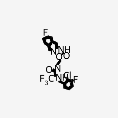 O=C(Nc1cc2cc(F)ccc2cn1)OCC[N]C(=O)C(NCc1cccc(F)c1Cl)C(F)(F)F